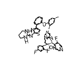 C[C@@H](c1ncncc1F)[C@](O)(Cn1cncn1)c1ccc(F)cc1F.Cc1ccc(Oc2ccccc2-c2csc(N=C3NCCCN3)n2)c(C)c1